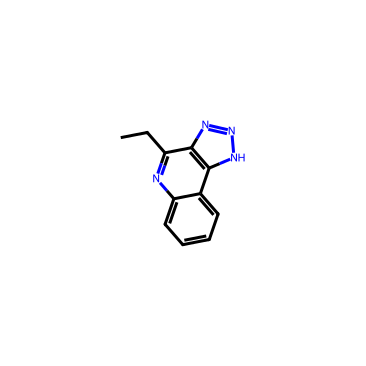 CCc1nc2ccccc2c2[nH]nnc12